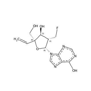 C=C[C@]1(CO)O[C@@H](n2cnc3c(O)ncnc32)[C@@H](CF)[C@@H]1O